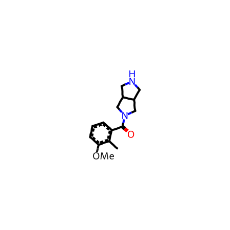 COc1cccc(C(=O)N2CC3CNCC3C2)c1C